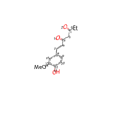 CCC(=O)CC(=O)/C=C/c1ccc(O)c(OC)c1